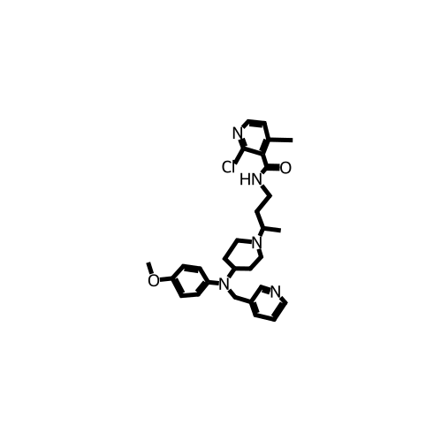 COc1ccc(N(Cc2cccnc2)C2CCN(C(C)CCNC(=O)c3c(C)ccnc3Cl)CC2)cc1